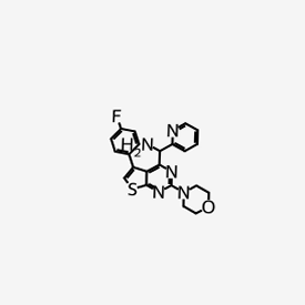 NC(c1ccccn1)c1nc(N2CCOCC2)nc2scc(-c3ccc(F)cc3)c12